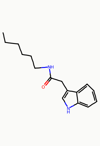 CCCCCCNC(=O)Cc1c[nH]c2ccccc12